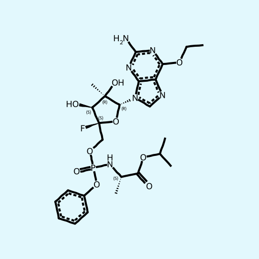 CCOc1nc(N)nc2c1ncn2[C@@H]1O[C@](F)(COP(=O)(N[C@@H](C)C(=O)OC(C)C)Oc2ccccc2)[C@@H](O)[C@@]1(C)O